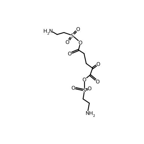 NCCS(=O)(=O)OC(=O)CCC(=O)C(=O)OS(=O)(=O)CCN